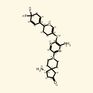 Nc1nc(N2CCC3(CC2)CC(=O)C[C@@H]3N)cnc1SC1=COC(C2=CCC(F)(F)C=C2)CC1